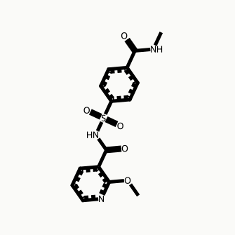 CNC(=O)c1ccc(S(=O)(=O)NC(=O)c2cccnc2OC)cc1